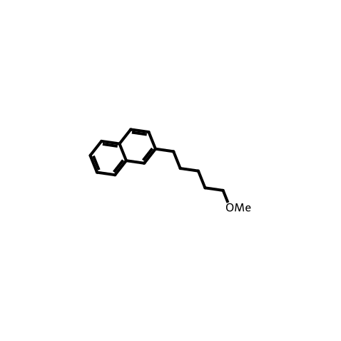 [CH2]OCCCCCc1ccc2ccccc2c1